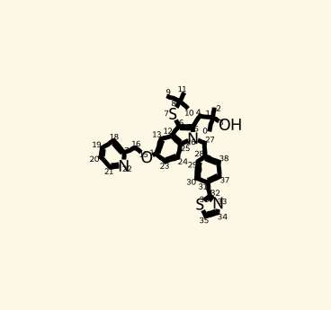 CC(C)(O)Cc1c(SC(C)(C)C)c2cc(OCc3ccccn3)ccc2n1Cc1ccc(-c2nccs2)cc1